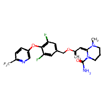 C=C(/C=C1/N(C)CCCN1C(N)=O)OCc1cc(F)c(Oc2ccc(C(F)(F)F)nc2)c(F)c1